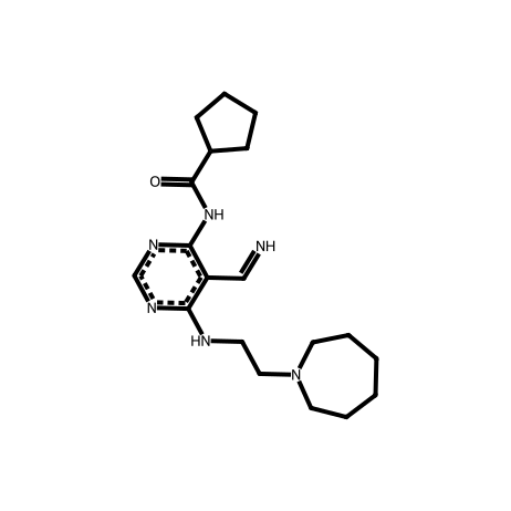 N=Cc1c(NCCN2CCCCCC2)ncnc1NC(=O)C1CCCC1